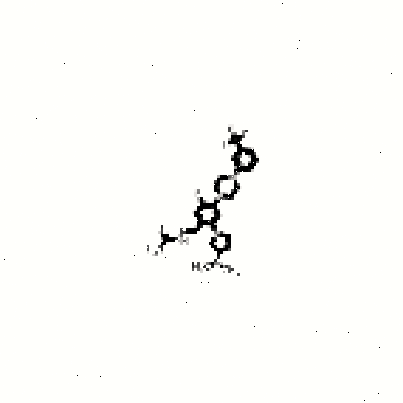 CN(C)[C@H]1CCN(c2cc(N3CCN(c4cccc(C(F)(F)F)c4)CC3)c(F)cc2/C=N/NC(N)=S)C1